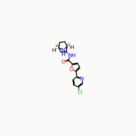 O=C(N[C@@H]1C[C@H]2CC[C@@H]1N2)c1ccc(-c2ccc(Cl)cn2)o1